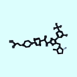 C[C@@H]1CC[C@@H](C)N1Cc1sc(NC(=O)c2cnc(N3CCN(CCC(=O)O)CC3)cn2)nc1-c1cc(F)cc(C(F)(F)F)c1